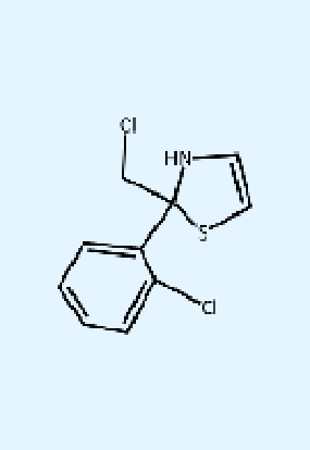 ClCC1(c2ccccc2Cl)NC=CS1